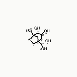 CC(C)(C)C12C[C@@](CO)(CS1)[C@@H](O)[C@H](O)[C@H]2O